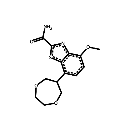 COc1ccc(C2COCCOC2)c2sc(C(N)=O)nc12